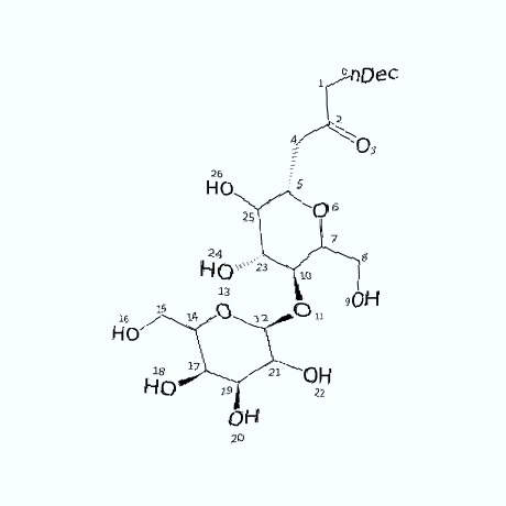 CCCCCCCCCCCC(=O)C[C@@H]1OC(CO)[C@@H](O[C@@H]2OC(CO)[C@H](O)[C@H](O)C2O)[C@H](O)C1O